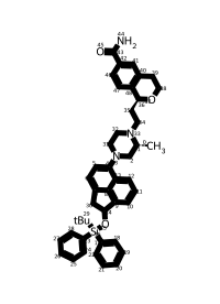 C[C@@H]1CN(c2ccc3c4c(cccc24)C(O[Si](c2ccccc2)(c2ccccc2)C(C)(C)C)C3)CCN1CC[C@@H]1OCCc2cc(C(N)=O)ccc21